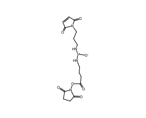 O=C(CCCN[S+]([O-])NCCCN1C(=O)C=CC1=O)ON1C(=O)CCC1=O